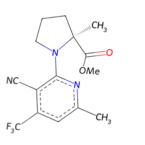 COC(=O)[C@]1(C)CCCN1c1nc(C)cc(C(F)(F)F)c1C#N